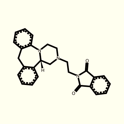 O=C1c2ccccc2C(=O)N1CCN1CCN2c3ccccc3Cc3ccccc3[C@H]2C1